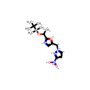 CC(O[Si](C)(C)C(C)(C)C)c1ncc(Cn2ccc([N+](=O)[O-])n2)o1